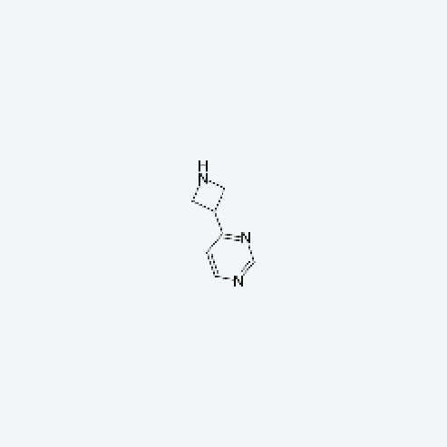 c1cc(C2CNC2)ncn1